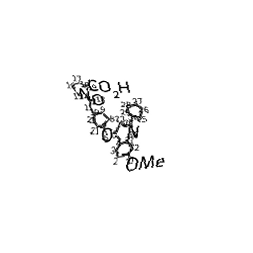 COc1ccc2c(Oc3ccc(CC(=O)N4CCCC4C(=O)O)cc3)cc(-c3ccccc3)nc2c1